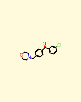 O=C(c1ccc(CN2CCOCC2)cc1)c1cccc(Cl)c1